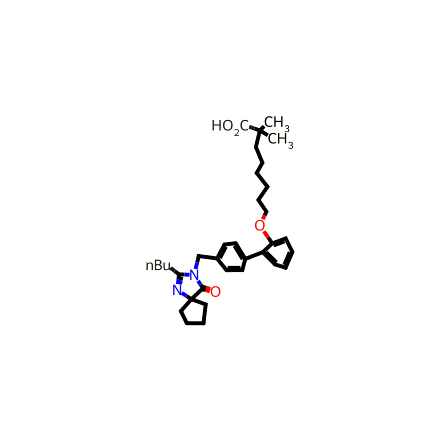 CCCCC1=NC2(CCCC2)C(=O)N1Cc1ccc(-c2ccccc2OCCCCCCC(C)(C)C(=O)O)cc1